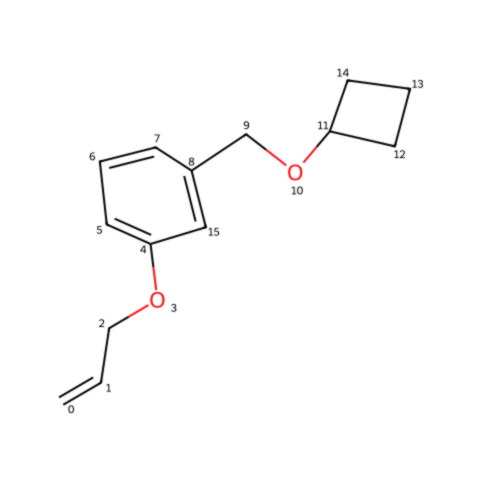 C=CCOc1cccc(COC2CCC2)c1